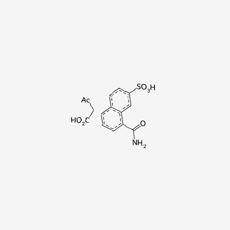 CC(=O)CC(=O)O.NC(=O)c1cccc2ccc(S(=O)(=O)O)cc12